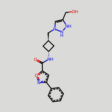 O=C(N[C@H]1C[C@H](CN2C=C(CO)NN2)C1)c1cc(-c2ccccc2)no1